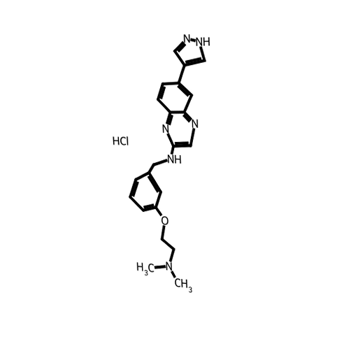 CN(C)CCOc1cccc(CNc2cnc3cc(-c4cn[nH]c4)ccc3n2)c1.Cl